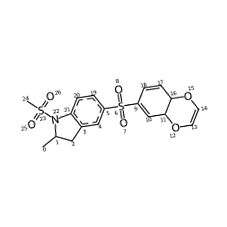 CC1Cc2cc(S(=O)(=O)C3=CC4OC=COC4C=C3)ccc2N1S(C)(=O)=O